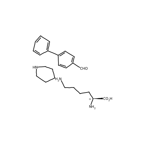 C1CCNCC1.NCCCC[C@H](N)C(=O)O.O=Cc1ccc(-c2ccccc2)cc1